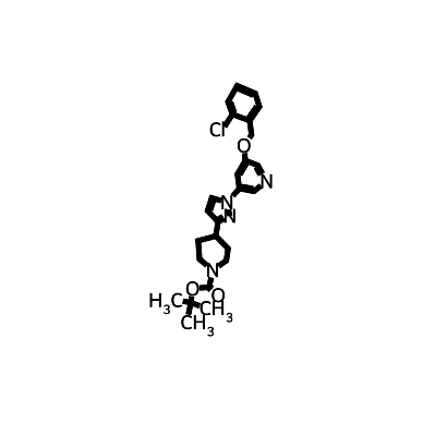 CC(C)(C)OC(=O)N1CCC(c2ccn(-c3cncc(OCc4ccccc4Cl)c3)n2)CC1